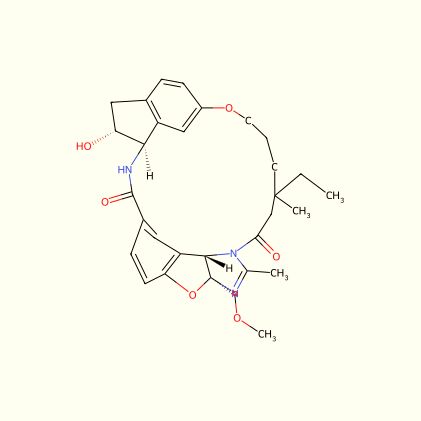 CCC1(C)CCCOc2ccc3c(c2)[C@@H](NC(=O)c2ccc4c(c2)[C@@H]2N(C(=O)C1)C(C)=N[C@@]2(COC)O4)[C@H](O)C3